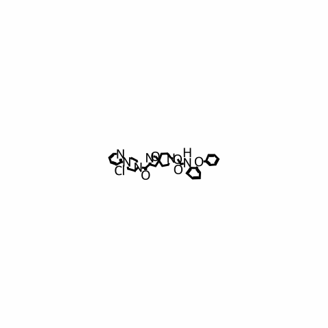 O=C(Nc1ccccc1Oc1ccccc1)ON1CCC2(CC1)CC(C(=O)N1CCN(c3ncccc3Cl)CC1)=NO2